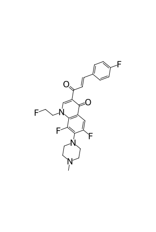 CN1CCN(c2c(F)cc3c(=O)c(C(=O)C=Cc4ccc(F)cc4)cn(CCF)c3c2F)CC1